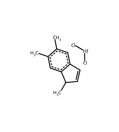 C[C]1C=Cc2cc(C)c(C)cc21.[Cl][Hf][Cl]